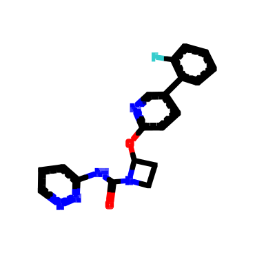 O=C(Nc1cccnn1)N1CCC1Oc1ccc(-c2ccccc2F)cn1